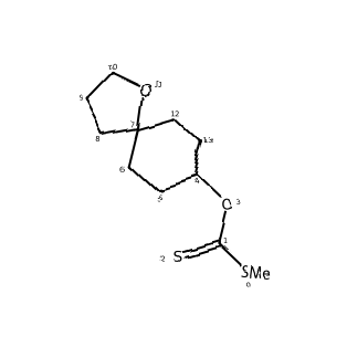 CSC(=S)OC1CCC2(CCCO2)CC1